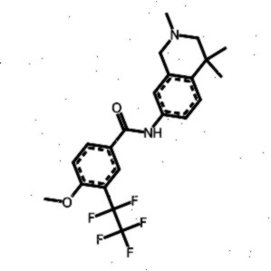 COc1ccc(C(=O)Nc2ccc3c(c2)CN(C)CC3(C)C)cc1C(F)(F)C(F)(F)F